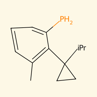 Cc1cccc(P)c1C1(C(C)C)CC1